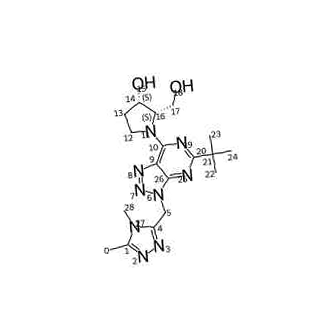 Cc1nnc(Cn2nnc3c(N4CC[C@H](O)[C@@H]4CO)nc(C(C)(C)C)nc32)n1C